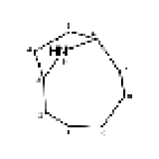 C1CCC2CCC(CC1)N2